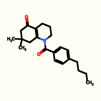 CCCCc1ccc(C(=O)N2CCCC3=C2CC(C)(C)CC3=O)cc1